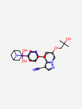 COc1ccc(C(O)(O)N2C3CC2CN(c2ccc(-c4cc(OCC(C)(C)O)cn5ncc(C#N)c45)cn2)C3)cn1